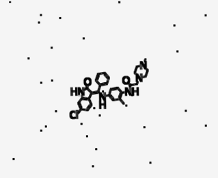 Cc1cc(NC(=C2C(=O)Nc3cc(Cl)ccc32)c2ccccc2)ccc1NC(=O)CN1CCN(C)CC1